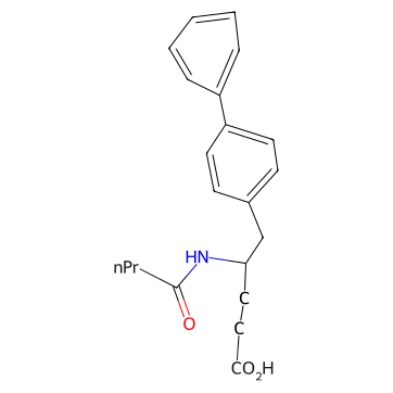 CCCC(=O)NC(CCC(=O)O)Cc1ccc(-c2ccccc2)cc1